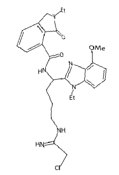 CCN1Cc2cccc(C(=O)NC(CCCNC(=N)CCl)c3nc4c(OC)cccc4n3CC)c2C1=O